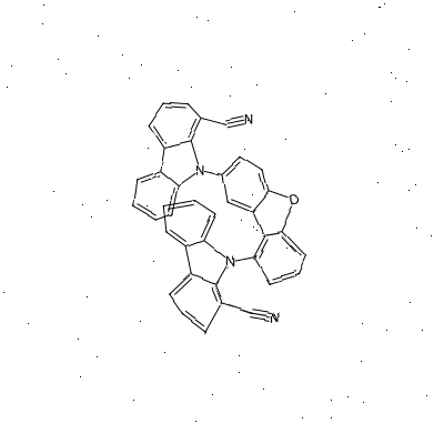 N#Cc1cccc2c3ccccc3n(-c3ccc4oc5cccc(-n6c7ccccc7c7cccc(C#N)c76)c5c4c3)c12